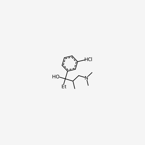 CCC(O)(c1cccc(C)c1)C(C)CN(C)C.Cl